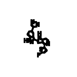 Fc1ccc(-c2nccc3[nH]c(-c4n[nH]c5ccc(-c6cncnc6)cc45)cc23)s1